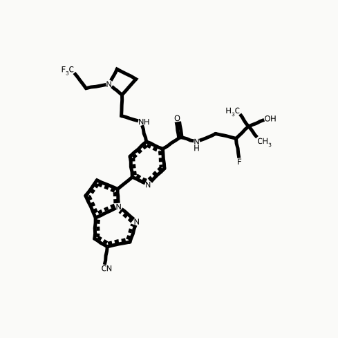 CC(C)(O)C(F)CNC(=O)c1cnc(-c2ccc3cc(C#N)cnn23)cc1NCC1CCN1CC(F)(F)F